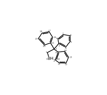 BCC(c1ccccc1)(c1ccccc1)c1ccccc1